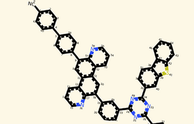 N#Cc1ccc(-c2ccc(-c3cc4c5cccnc5c(-c5cccc(-c6nc(-c7ccccc7)nc(-c7ccc8c(c7)sc7ccccc78)n6)c5)cc4c4cccnc34)cc2)cc1